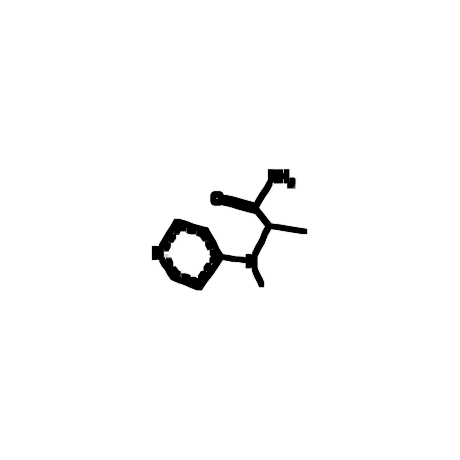 CC(C(N)=O)N(C)c1ccncc1